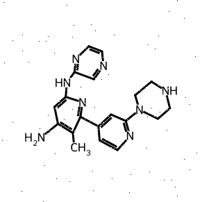 Cc1c(N)cc(Nc2cnccn2)nc1-c1ccnc(N2CCNCC2)c1